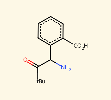 CC(C)(C)C(=O)C(N)c1ccccc1C(=O)O